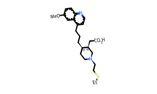 CCSCCN1CC[C@@H](CCCc2ccnc3ccc(OC)cc23)[C@@H](CC(=O)O)C1